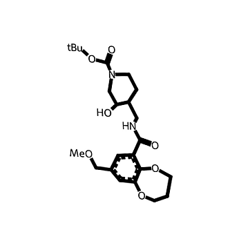 COCc1cc2c(c(C(=O)NCC3CCN(C(=O)OC(C)(C)C)CC3O)c1)OCCCO2